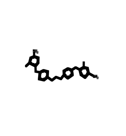 Cc1cc(N)ccc1Cc1ccc(CCCc2ccc(Cc3ccc(N)cc3C)cc2)cc1